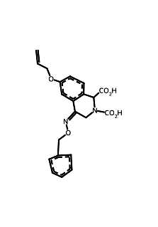 C=CCOc1ccc2c(c1)C(=NOCc1ccccc1)CN(C(=O)O)C2C(=O)O